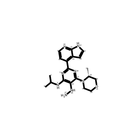 CC(C)Nc1nc(-c2ccnc3[nH]ccc23)nc(N2CCOC[C@H]2C)c1NN